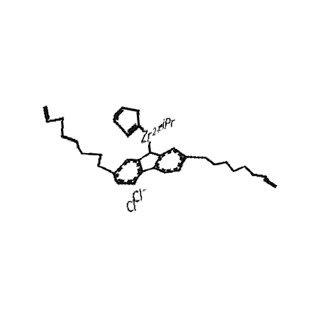 C=CCCCCCCc1ccc2c(c1)[CH]([Zr+2]([C]1=CC=CC1)[CH](C)C)c1cc(CCCCCCC=C)ccc1-2.[Cl-].[Cl-]